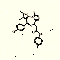 Cc1ccc(NC(=O)CC2N=C(c3ccc(Cl)cc3)c3c(sc(C)c3C)-n3c(C)nnc32)cc1